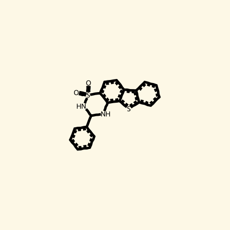 O=S1(=O)NC(c2ccccc2)Nc2c1ccc1c2sc2ccccc21